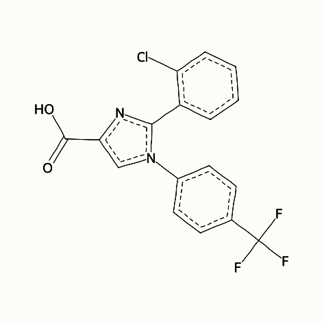 O=C(O)c1cn(-c2ccc(C(F)(F)F)cc2)c(-c2ccccc2Cl)n1